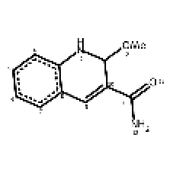 COC1Nc2ccccc2C=C1C(N)=O